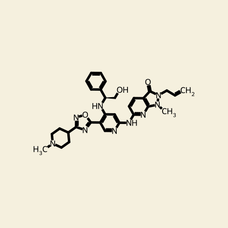 C=CCn1c(=O)c2ccc(Nc3cc(N[C@H](CO)c4ccccc4)c(-c4nc(C5CCN(C)CC5)no4)cn3)nc2n1C